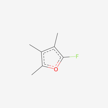 Cc1oc(F)c(C)c1C